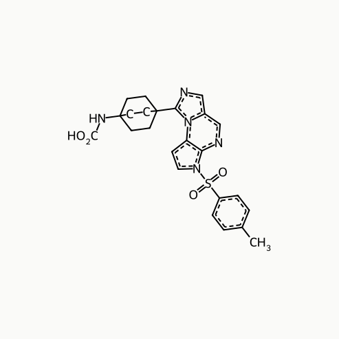 Cc1ccc(S(=O)(=O)n2ccc3c2ncc2cnc(C45CCC(NC(=O)O)(CC4)CC5)n23)cc1